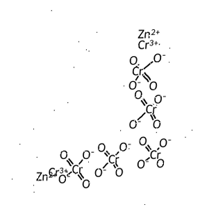 [Cr+3].[Cr+3].[O]=[Cr](=[O])([O-])[O-].[O]=[Cr](=[O])([O-])[O-].[O]=[Cr](=[O])([O-])[O-].[O]=[Cr](=[O])([O-])[O-].[O]=[Cr](=[O])([O-])[O-].[Zn+2].[Zn+2]